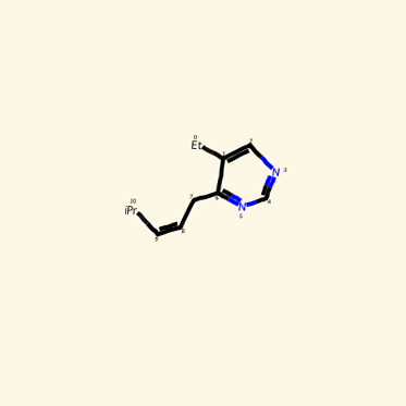 CCc1cncnc1C/C=C\C(C)C